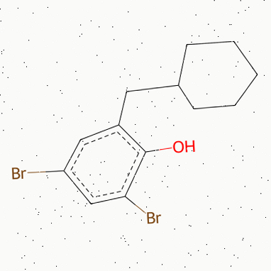 Oc1c(Br)cc(Br)cc1CC1CCCCC1